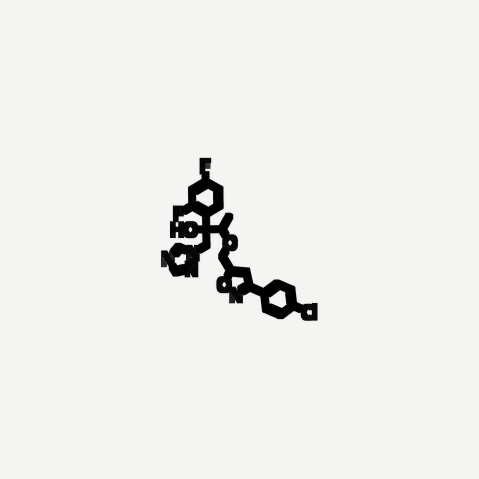 CC(OCc1cc(-c2ccc(Cl)cc2)no1)C(O)(Cn1cncn1)c1ccc(F)cc1F